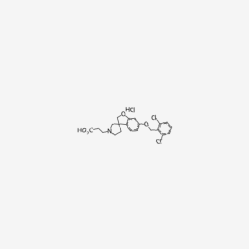 Cl.O=C(O)CCN1CCC2(COc3cc(OCc4c(Cl)cccc4Cl)ccc32)C1